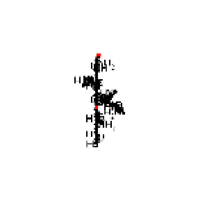 C#CCC(N)C(=O)NCCCCC(NC(=O)C(N)CC#C)C(=O)NCCCCC(NC(=O)C(CCCCNC(=O)C(N)CC#C)NC(=O)C(N)CC#C)C(=O)NCCCCCC(=O)NC(CCCCNC(=O)CCS)C(N)=O